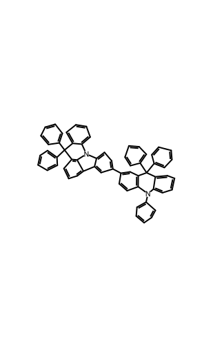 c1ccc(N2c3ccccc3C(c3ccccc3)(c3ccccc3)c3cc(-c4ccc5c(c4)c4cccc6c4n5-c4ccccc4C6(c4ccccc4)c4ccccc4)ccc32)cc1